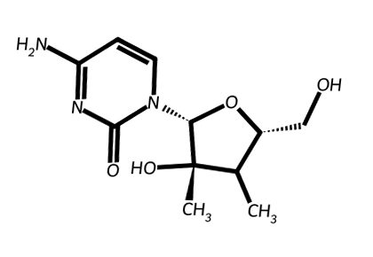 CC1[C@@H](CO)O[C@@H](n2ccc(N)nc2=O)[C@@]1(C)O